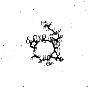 COc1cc2cc(c1Cl)N(C)C(=O)C[C@H](OC(=O)[C@H](C)N(C)C(=O)CCC(C)(C)S)[C@@](C)(OC)C(C)C1C[C@@](O)(NC(=O)O1)[C@H](OC)/C=C/C=C(\C)C2